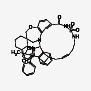 CC(C)(C)[Si](OC1C2CCC2CC=CCCNS(=O)(=O)NC(=O)c2ccc3c(c2)N1CC1(CCCc2ccccc21)CO3)(c1ccccc1)c1ccccc1